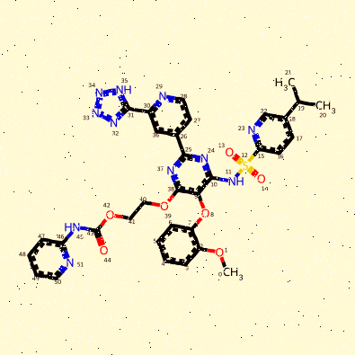 COc1ccccc1Oc1c(NS(=O)(=O)c2ccc(C(C)C)cn2)nc(-c2ccnc(-c3nnn[nH]3)c2)nc1OCCOC(=O)Nc1ccccn1